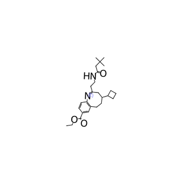 CCOC(=O)c1ccc2c(c1)CCC(C1CCC1)C/C(CCNC(=O)CC(C)(C)C)=N\2